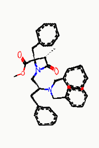 COC(=O)[C@]1(Cc2ccccc2)[C@H](C)C(=O)N1C[C@H](Cc1ccccc1)N(Cc1ccccc1)Cc1ccccc1